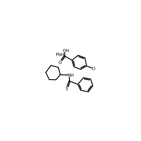 O=C(O)c1ccc(Cl)cc1.S=C(NC1CCCCC1)c1ccccc1.[PbH2]